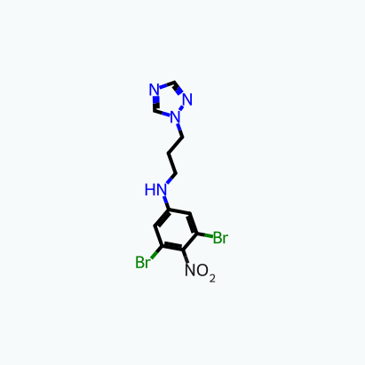 O=[N+]([O-])c1c(Br)cc(NCCCn2cncn2)cc1Br